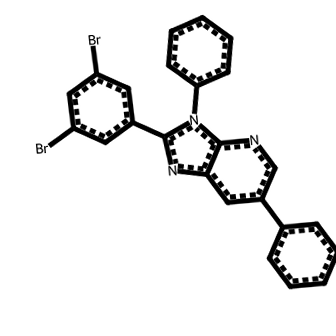 Brc1cc(Br)cc(-c2nc3cc(-c4ccccc4)cnc3n2-c2ccccc2)c1